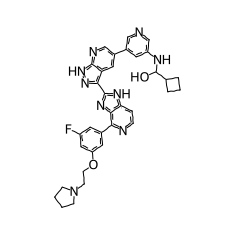 OC(Nc1cncc(-c2cnc3[nH]nc(-c4nc5c(-c6cc(F)cc(OCCN7CCCC7)c6)nccc5[nH]4)c3c2)c1)C1CCC1